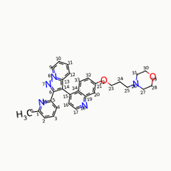 Cc1cccc(-c2nn3ccccc3c2-c2ccnc3cc(OCCCN4CCOCC4)ccc23)n1